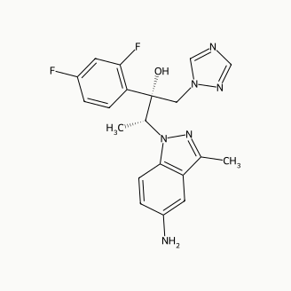 Cc1nn([C@H](C)[C@](O)(Cn2cncn2)c2ccc(F)cc2F)c2ccc(N)cc12